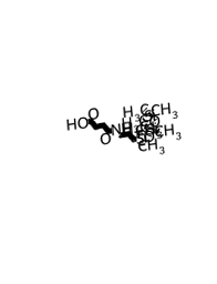 C[Si](C)(C)O[Si](C)(C)O[Si](C)(C)CCCNC(=O)CCC(=O)O